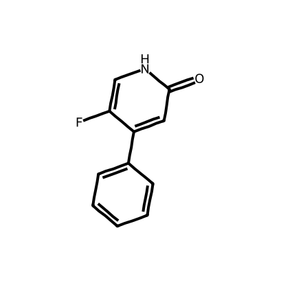 O=c1cc(-c2ccccc2)c(F)c[nH]1